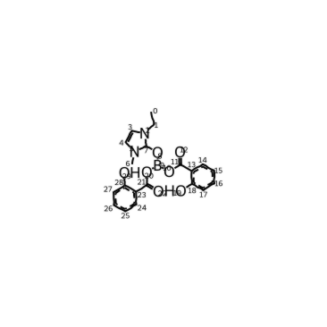 CCN1C=CN(C)C1OB(OC(=O)c1ccccc1O)OC(=O)c1ccccc1O